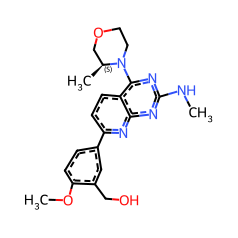 CNc1nc(N2CCOC[C@@H]2C)c2ccc(-c3ccc(OC)c(CO)c3)nc2n1